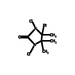 CCC1(C)N(Cl)C(=O)N(Cl)C1(C)C